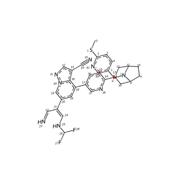 CSc1ccc(CN2C3CCC2CN(c2ccc(-c4cc(/C(C=N)=C/NC(F)F)cn5ncc(C#N)c45)cn2)C3)cn1